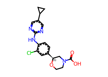 O=C(O)N1CCO[C@@H](c2ccc(Nc3ncc(C4CC4)cn3)c(Cl)c2)C1